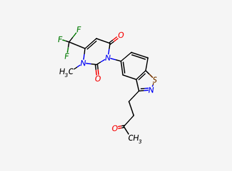 CC(=O)CCc1nsc2ccc(-n3c(=O)cc(C(F)(F)F)n(C)c3=O)cc12